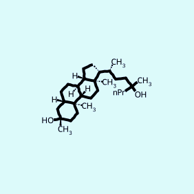 CCCC(C)(O)CC[C@@H](C)[C@H]1CC[C@H]2[C@@H]3CC[C@H]4C[C@@](C)(O)CC[C@]4(C)[C@H]3CC[C@]12C